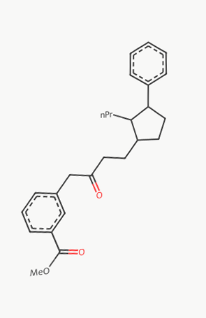 CCCC1C(CCC(=O)Cc2cccc(C(=O)OC)c2)CCC1c1ccccc1